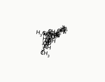 CCCCNc1cccc(S(=O)(=O)NC(=O)c2ccc(-n3cc(OCCC4(C(F)(F)F)CC4)cn3)nc2N2CC(NC)CC2(C)C)n1